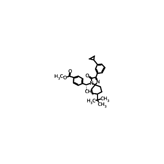 COC(=O)c1ccc([C@@H](C)N2C(=O)C(c3cccc(C4CC4)c3)=NC23CCC(C(C)(C)C)CC3)cc1